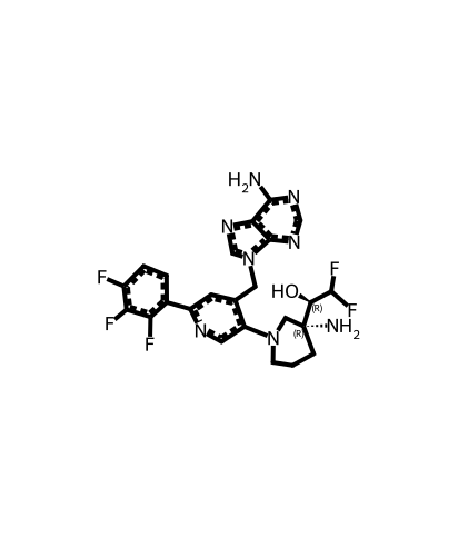 Nc1ncnc2c1ncn2Cc1cc(-c2ccc(F)c(F)c2F)ncc1N1CCC[C@](N)([C@@H](O)C(F)F)C1